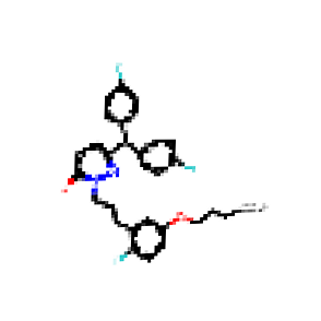 O=C(O)CCCOc1ccc(F)c(CCCn2nc(C(c3ccc(F)cc3)c3ccc(F)cc3)ccc2=O)c1